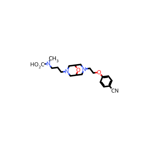 CN(CCCN1CC2CN(CCOc3ccc(C#N)cc3)CC(C1)O2)C(=O)O